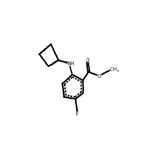 COC(=O)c1cc(F)ccc1NC1CCC1